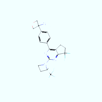 NC1(c2ccc(-c3nc(N4CC[C@@H]4C(F)(F)F)nc4c3CCC4(F)F)cc2)COC1